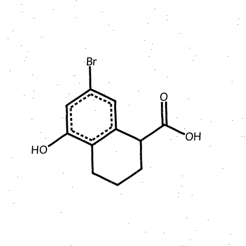 O=C(O)C1CCCc2c(O)cc(Br)cc21